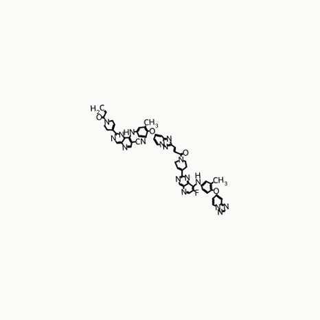 C=CC(=O)N1CC=C(c2ncc3ncc(C#N)c(Nc4ccc(Oc5ccn6nc(C=CC(=O)N7CC=C(c8ncc9ncc(F)c(Nc%10ccc(Oc%11ccn%12ncnc%12c%11)c(C)c%10)c9n8)CC7)nc6c5)c(C)c4)c3n2)CC1